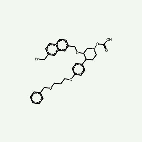 O=C(O)ON1CCC(c2ccc(OCCCOCc3ccccc3)cc2)C(OCc2ccc3ccc(CBr)cc3c2)C1